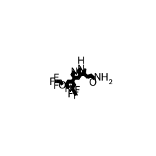 NC(=O)C=Cc1c[nH]c2ncc(-c3cc(OCC(F)(F)F)nc(C(F)(F)F)c3)cc12